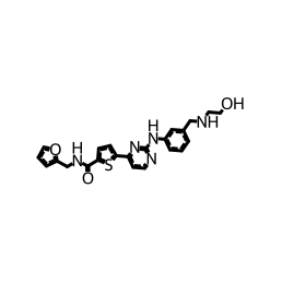 O=C(NCc1ccco1)c1ccc(-c2ccnc(Nc3cccc(CNCCO)c3)n2)s1